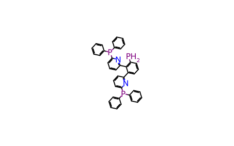 Pc1cccc(-c2cccc(P(c3ccccc3)c3ccccc3)n2)c1-c1cccc(P(c2ccccc2)c2ccccc2)n1